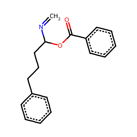 C=NC(CCCc1ccccc1)OC(=O)c1ccccc1